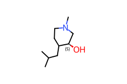 CC(C)CC1CCN(C)C[C@H]1O